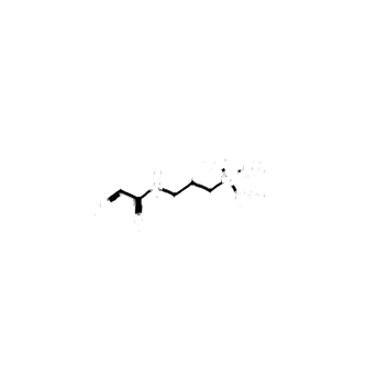 C=CC(=O)NCCC[N+](C)(C)CCCCCC